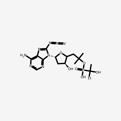 CCC(C)(O)P(=O)(O)OC(C)(C)CC1O[C@@H](n2c(N=[N+]=[N-])nc3c(N)ncnc32)C[C@@H]1O